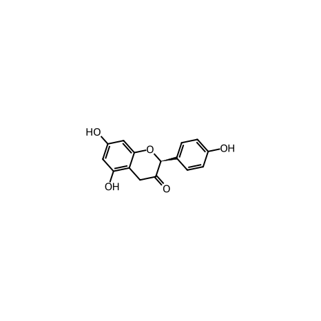 O=C1Cc2c(O)cc(O)cc2O[C@H]1c1ccc(O)cc1